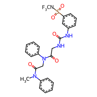 CN(C(=O)CN(C(=O)CNC(=O)Nc1cccc(S(=O)(=O)NC(F)(F)F)c1)c1ccccc1)c1ccccc1